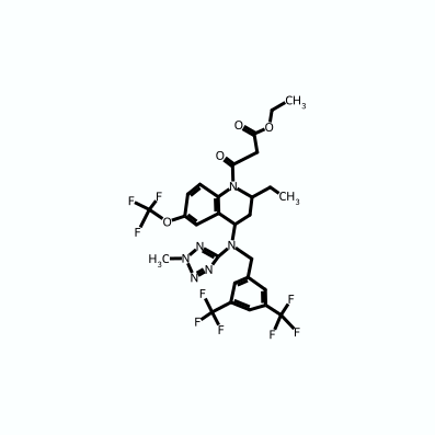 CCOC(=O)CC(=O)N1c2ccc(OC(F)(F)F)cc2C(N(Cc2cc(C(F)(F)F)cc(C(F)(F)F)c2)c2nnn(C)n2)CC1CC